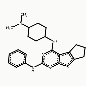 CN(C)C1CCC(Nc2nc(Nc3ccccc3)nc3sc4c(c23)CCC4)CC1